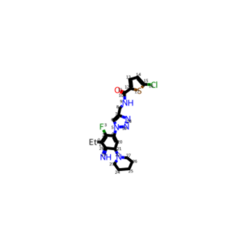 CCC1=C(F)C(n2cc(CNC(=O)c3ccc(Cl)s3)nn2)=CC(N2CCCCC2)C1=N